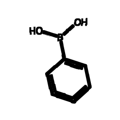 OB(O)C1=CC=C=C=C1